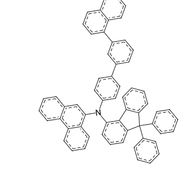 c1ccc(C2(c3ccccc3)c3ccccc3-c3c(N(c4ccc(-c5cccc(-c6cccc7ccccc67)c5)cc4)c4cc5ccccc5c5ccccc45)cccc32)cc1